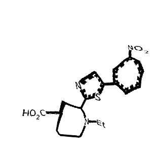 CCN1CCC(C(=O)O)CC1c1ncc(-c2cccc([N+](=O)[O-])c2)s1